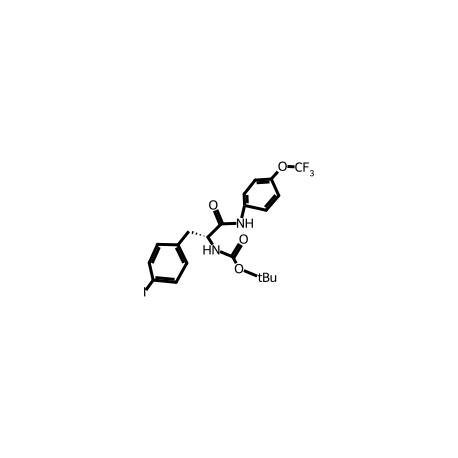 CC(C)(C)OC(=O)N[C@H](Cc1ccc(I)cc1)C(=O)Nc1ccc(OC(F)(F)F)cc1